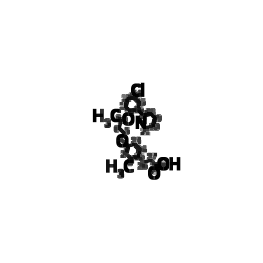 Cc1cc(OCC[C@H](C)Oc2ccc(Cl)cc2-c2ccccn2)ccc1CCC(=O)O